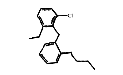 CCCCc1ccccc1Cc1c(Cl)cccc1CC